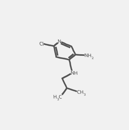 CC(C)CNc1cc(Cl)ncc1N